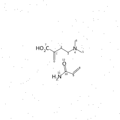 C=C(CCN(C)C)C(=O)O.C=CC(N)=O